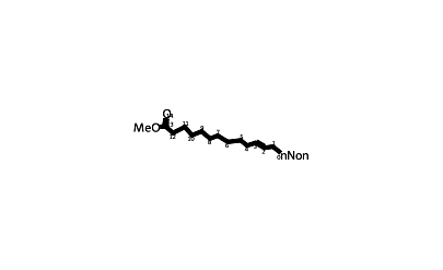 CCCCCCCCCC/C=C/CCCCCCCCCC(=O)OC